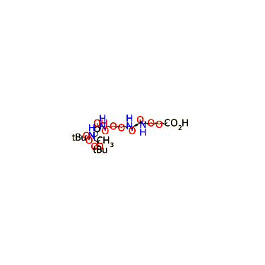 CC(CC(Cc1ccc(O)c(NC(=O)CCOCCOCCNC(=O)C#CC(=O)NCCOCCOCCC(=O)O)c1)NC(=O)OC(C)(C)C)C(=O)OC(C)(C)C